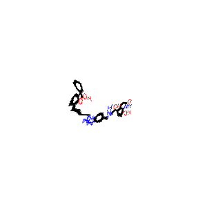 O=C(O)C1(c2cccc(CCCCn3nnc4cc(CNC[C@H](O)c5ccc(O)c6[nH]c(=O)ccc56)ccc43)c2)CCCCC1